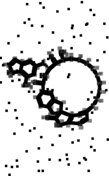 Cc1cc(C[C@H]2NC(=O)c3ccc4c(c3)C[C@]3(C4)C(=O)Nc4ncc(cc43)CCCOCCOCCN(C)C2=O)cc2cn[nH]c12